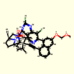 COCOc1cc(-c2ncc3c(N4C[C@H]5CC[C@@H](C4)N5C(=O)O)nc(F)nc3c2F)c2c(C#C[Si](C(C)C)(C(C)C)C(C)C)cccc2c1